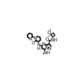 CNc1cc(Nc2cccn(-c3ccccn3)c2=O)nc2c(C(=O)NC3CC[C@@]3(C)OC)cnn12